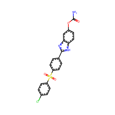 NC(=O)Oc1ccc2[nH]c(-c3ccc(S(=O)(=O)c4ccc(Cl)cc4)cc3)nc2c1